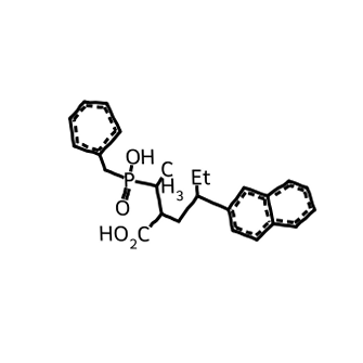 CCC(CC(C(=O)O)C(C)P(=O)(O)Cc1ccccc1)c1ccc2ccccc2c1